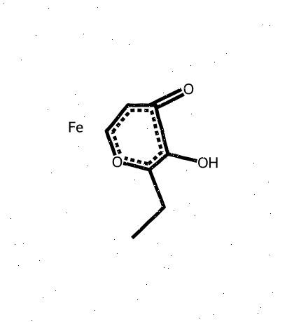 CCc1occc(=O)c1O.[Fe]